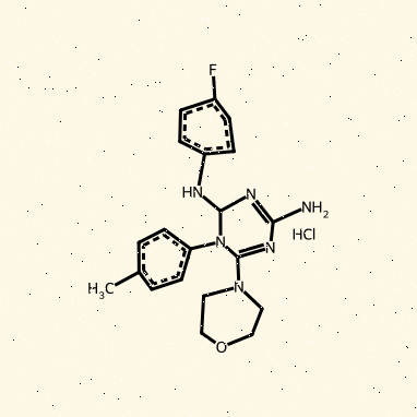 Cc1ccc(N2C(N3CCOCC3)=NC(N)=NC2Nc2ccc(F)cc2)cc1.Cl